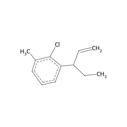 C=CC(CC)c1cccc(C)c1Cl